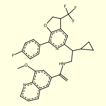 C=C(NCC(c1cc2c(c(-c3ccc(F)cc3)n1)OCC2C(F)(F)F)C1CC1)c1cc(OC)c2ncccc2c1